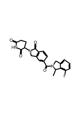 CC1c2c(F)cccc2CN1C(=O)c1ccc2c(c1)CN(C1CCC(=O)NC1=O)C2=O